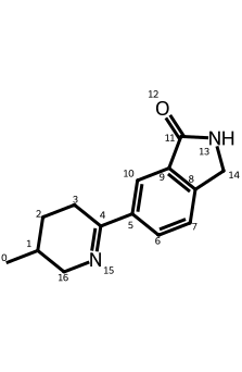 CC1CCC(c2ccc3c(c2)C(=O)NC3)=NC1